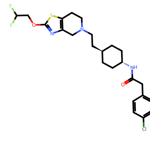 O=C(Cc1ccc(Cl)cc1)N[C@H]1CC[C@H](CCN2CCc3sc(OCC(F)F)nc3C2)CC1